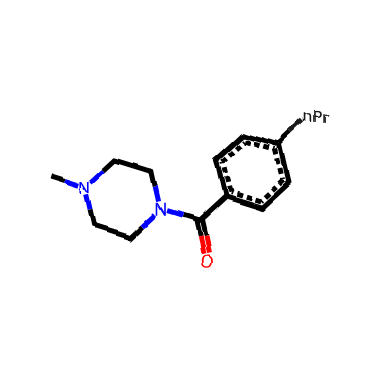 [CH2]CCc1ccc(C(=O)N2CCN(C)CC2)cc1